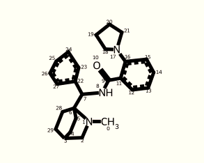 CN1CC2CCC1(C(NC(=O)c1ccccc1N1CCCC1)c1ccccc1)CC2